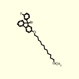 COCCCCCCCCCCCCOc1ccc2c(c1)C(Br)(c1cccc(F)c1)c1ccccc1-2